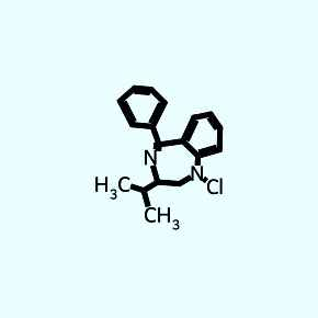 CC(C)C1CN(Cl)c2ccccc2C(c2ccccc2)=N1